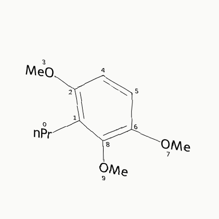 C[CH]Cc1c(OC)ccc(OC)c1OC